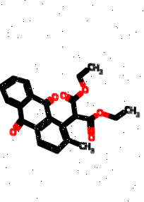 CCOC(=O)C(C(=O)OCC)c1c(C)ccc2c1C(=O)c1ccccc1C2=O